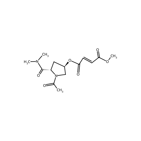 COC(=O)/C=C/C(=O)O[C@@H]1C[C@@H](C(=O)N(C)C)N(C(C)=O)C1